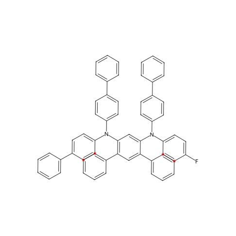 Fc1ccc(N(c2ccc(-c3ccccc3)cc2)c2cc(N(c3ccc(-c4ccccc4)cc3)c3ccc(-c4ccccc4)cc3)c(-c3ccccc3)cc2-c2ccccc2)cc1